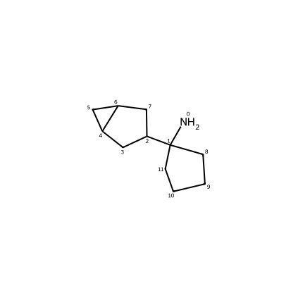 NC1(C2CC3CC3C2)CCCC1